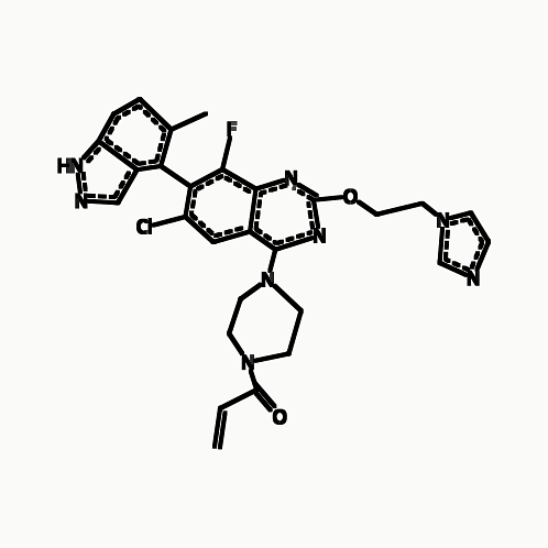 C=CC(=O)N1CCN(c2nc(OCCn3ccnc3)nc3c(F)c(-c4c(C)ccc5[nH]ncc45)c(Cl)cc23)CC1